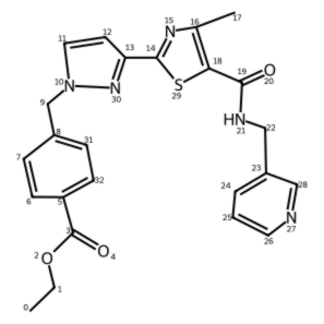 CCOC(=O)c1ccc(Cn2ccc(-c3nc(C)c(C(=O)NCc4cccnc4)s3)n2)cc1